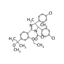 CCOc1cc(C(C)(C)OC)ccc1C1=N[C@@](C)(c2ccc(Cl)cc2)[C@@](C)(c2ccc(Cl)cc2)N1C(=O)Cl